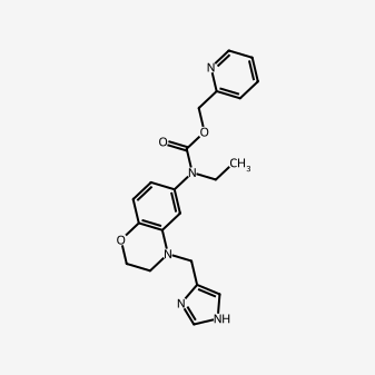 CCN(C(=O)OCc1ccccn1)c1ccc2c(c1)N(Cc1c[nH]cn1)CCO2